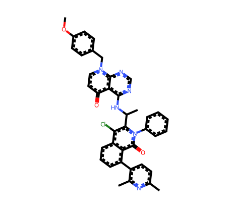 COc1ccc(Cn2ccc(=O)c3c(NC(C)c4c(Cl)c5cccc(-c6ccc(C)nc6C)c5c(=O)n4-c4ccccc4)ncnc32)cc1